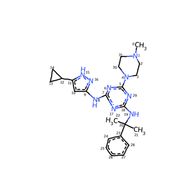 CN1CCN(c2nc(Nc3cc(C4CC4)[nH]n3)nc(NC(C)(C)c3ccccc3)n2)CC1